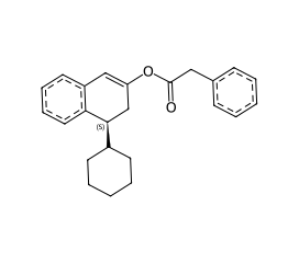 O=C(Cc1ccccc1)OC1=Cc2ccccc2[C@H](C2CCCCC2)C1